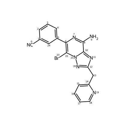 N#Cc1cccc(-c2nc(N)c3nc(Cc4ccccn4)nn3c2Br)c1